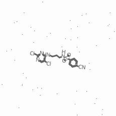 N#Cc1ccc(S(=O)(=O)NCCCNc2nc(Cl)ncc2Cl)cc1